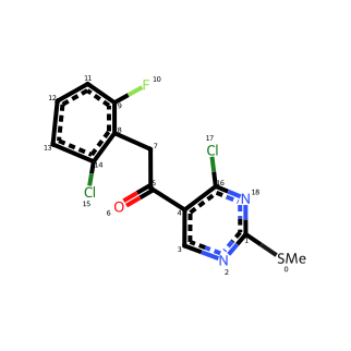 CSc1ncc(C(=O)Cc2c(F)cccc2Cl)c(Cl)n1